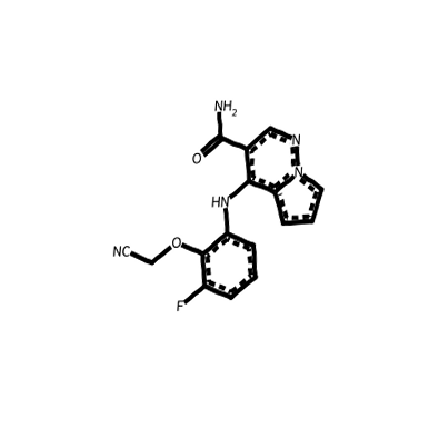 N#CCOc1c(F)cccc1Nc1c(C(N)=O)cnn2cccc12